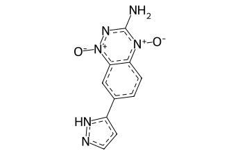 Nc1n[n+]([O-])c2cc(-c3ccn[nH]3)ccc2[n+]1[O-]